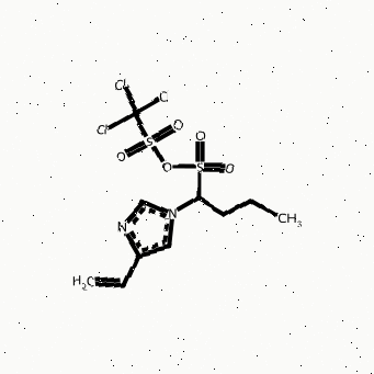 C=Cc1cn(C(CCC)S(=O)(=O)OS(=O)(=O)C(Cl)(Cl)Cl)cn1